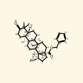 CC(C)[C@@H]1CC[C@]2(C(=O)OCc3ccccc3)CC[C@]3(C)[C@H](CCC4[C@@]5(C)CCC(=O)C(C)(C)[C@@H]5CC[C@]43C)[C@@H]12